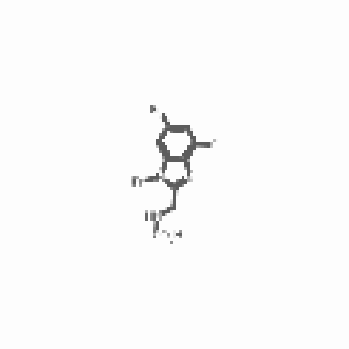 CC(C)n1c(CNC(=O)O)nc2c(F)cc(Br)cc21